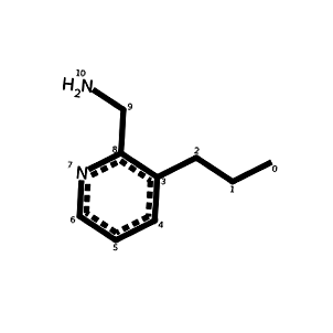 CCCc1cccnc1CN